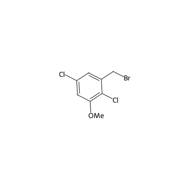 COc1cc(Cl)cc(CBr)c1Cl